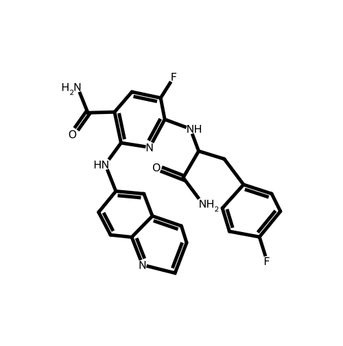 NC(=O)c1cc(F)c(NC(Cc2ccc(F)cc2)C(N)=O)nc1Nc1ccc2ncccc2c1